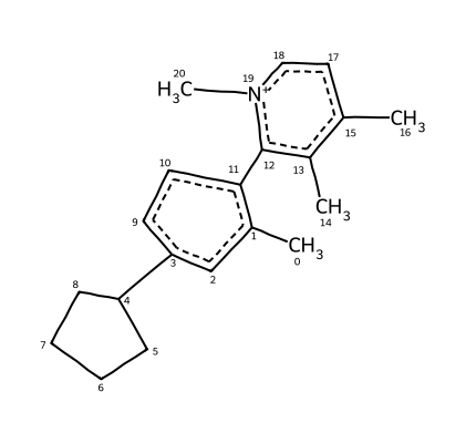 Cc1cc(C2CCCC2)ccc1-c1c(C)c(C)cc[n+]1C